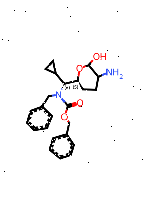 NC1CC[C@@H]([C@@H](C2CC2)N(Cc2ccccc2)C(=O)OCc2ccccc2)OC1O